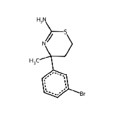 CC1(c2cccc(Br)c2)CCSC(N)=N1